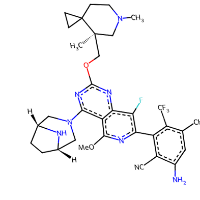 COc1nc(-c2c(C#N)c(N)cc(C)c2C(F)(F)F)c(F)c2nc(OC[C@]3(C)CN(C)CCC34CC4)nc(N3C[C@H]4CC[C@@H](C3)N4)c12